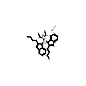 CCCCC1=Cc2ccccc2[CH]1[Zr+2]([CH]1C(CCCC)=Cc2ccccc21)[SiH](CC)CC.[Br-].[Br-]